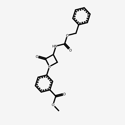 COC(=O)c1cccc(N2CC(NC(=O)OCc3ccccc3)C2=O)c1